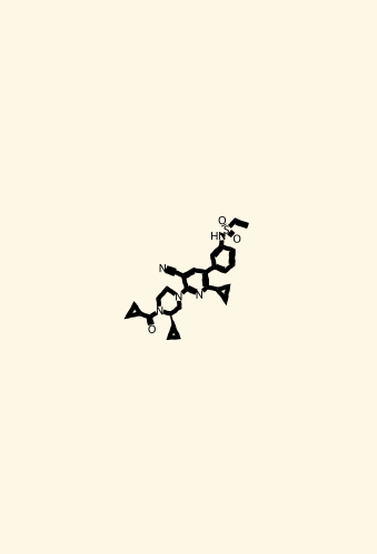 C=CS(=O)(=O)Nc1cccc(-c2cc(C#N)c(N3CCN(C(=O)C4CC4)[C@H](C4CC4)C3)nc2C2CC2)c1